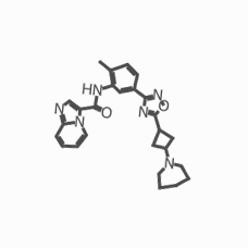 Cc1ccc(-c2noc(C3CC(N4CCCCC4)C3)n2)cc1NC(=O)c1cnc2ccccn12